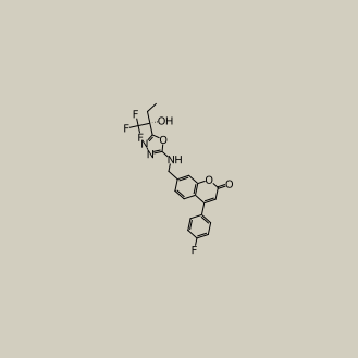 CC[C@@](O)(c1nnc(NCc2ccc3c(-c4ccc(F)cc4)cc(=O)oc3c2)o1)C(F)(F)F